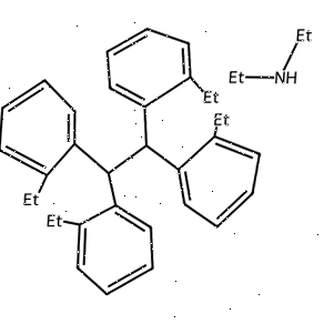 CCNCC.CCc1ccccc1C(c1ccccc1CC)C(c1ccccc1CC)c1ccccc1CC